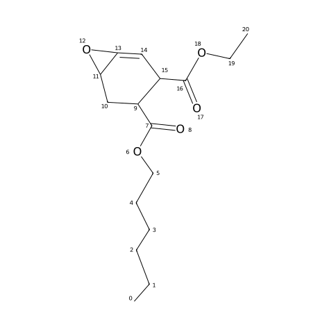 CCCCCCOC(=O)C1CC2OC2=CC1C(=O)OCC